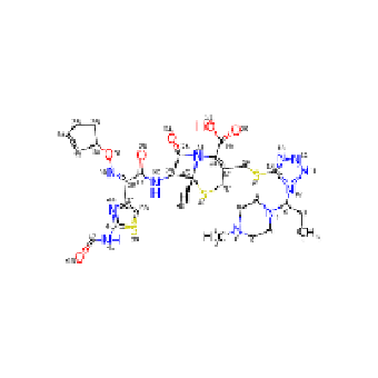 CCC(N1CCN(C)CC1)n1nnnc1SCC1=C(C(=O)O)N2C(=O)C(NC(=O)/C(=N\OC3C=CCC3)c3csc(NC=O)n3)[C@H]2SC1